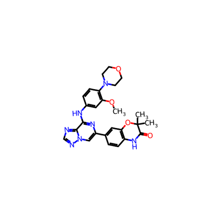 COc1cc(Nc2nc(-c3ccc4c(c3)OC(C)(C)C(=O)N4)cn3ncnc23)ccc1N1CCOCC1